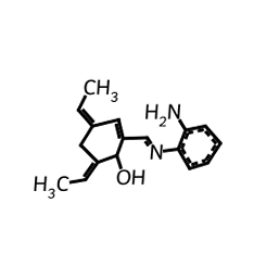 CC=C1C=C(C=Nc2ccccc2N)C(O)C(=CC)C1